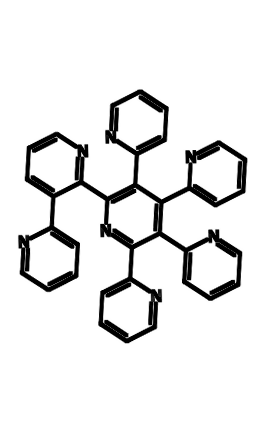 c1ccc(-c2cccnc2-c2nc(-c3ccccn3)c(-c3ccccn3)c(-c3ccccn3)c2-c2ccccn2)nc1